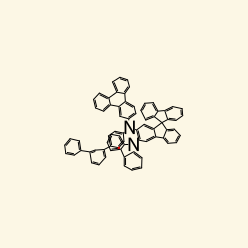 c1ccc(-c2cccc(-c3ccc(N(c4ccc5c6ccccc6c6ccccc6c5c4)c4cc5c(cc4-n4c6ccccc6c6ccccc64)-c4ccccc4C54c5ccccc5-c5ccccc54)cc3)c2)cc1